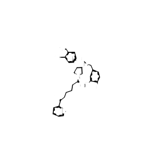 CN(Cc1ccc(C(F)(F)F)c(F)c1)[C@@H]1CN(C(=O)CCCCC(=O)c2ccccn2)C[C@@H]1c1ccc(Cl)c(Cl)c1